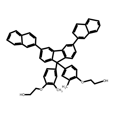 Cc1cc(C2(c3ccc(OCCO)c(C)c3)c3ccc(-c4ccc5ccccc5c4)cc3-c3cc(-c4ccc5ccccc5c4)ccc32)ccc1OCCO